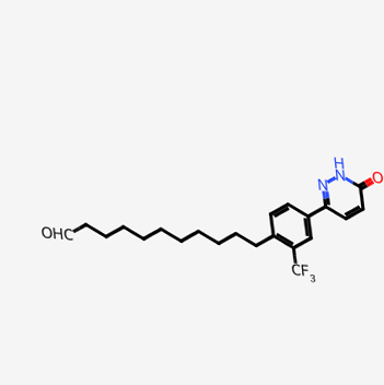 O=CCCCCCCCCCCc1ccc(-c2ccc(=O)[nH]n2)cc1C(F)(F)F